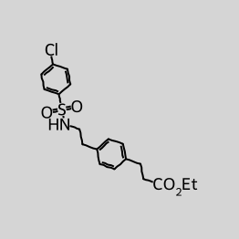 CCOC(=O)CCc1ccc(CCNS(=O)(=O)c2ccc(Cl)cc2)cc1